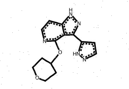 c1cc(-c2n[nH]c3ccnc(OC4CCOCC4)c23)[nH]n1